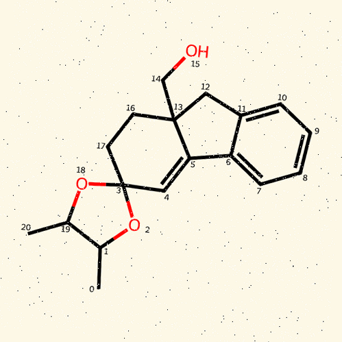 CC1OC2(C=C3c4ccccc4CC3(CO)CC2)OC1C